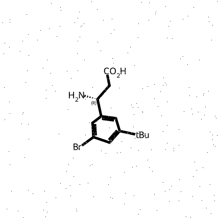 CC(C)(C)c1cc(Br)cc([C@H](N)CC(=O)O)c1